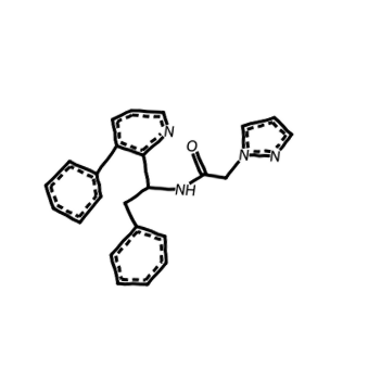 O=C(Cn1cccn1)NC(Cc1ccccc1)c1ncccc1-c1ccccc1